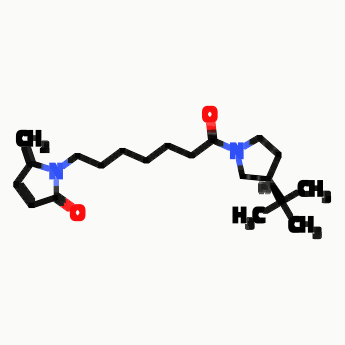 C=C1C=CC(=O)N1CCCCCCC(=O)N1CC[C@@H](C(C)(C)C)C1